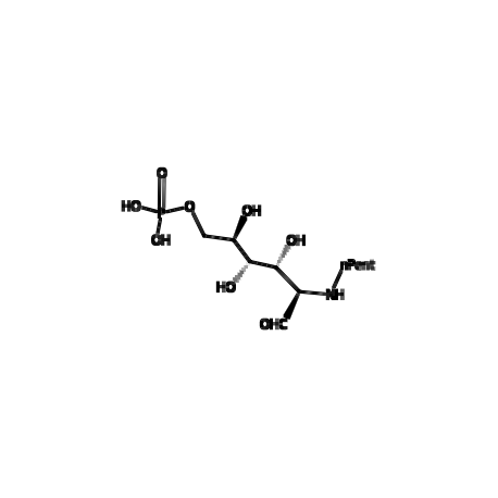 CCCCCN[C@@H](C=O)[C@@H](O)[C@H](O)[C@H](O)COP(=O)(O)O